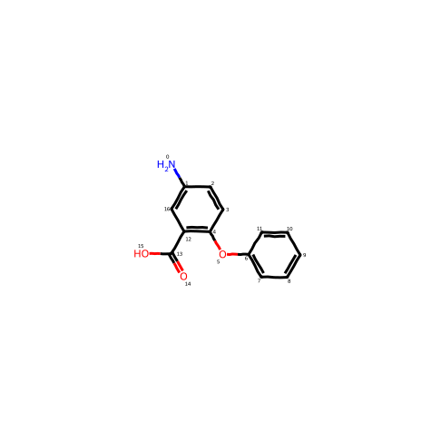 Nc1ccc(Oc2ccccc2)c(C(=O)O)c1